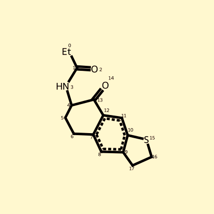 CCC(=O)NC1CCc2cc3c(cc2C1=O)SCC3